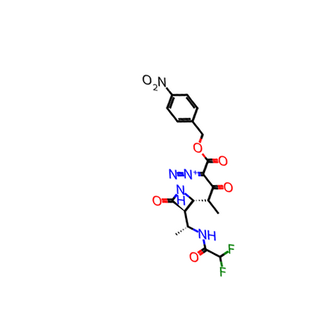 CC(C(=O)C(=[N+]=[N-])C(=O)OCc1ccc([N+](=O)[O-])cc1)[C@H]1NC(=O)[C@@H]1[C@@H](C)NC(=O)C(F)F